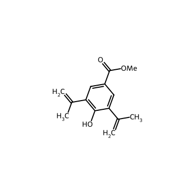 C=C(C)c1cc(C(=O)OC)cc(C(=C)C)c1O